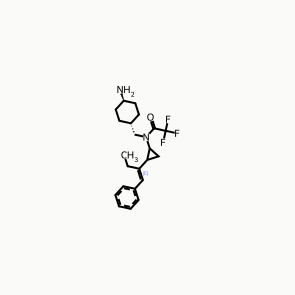 CC/C(=C\c1ccccc1)C1CC1N(C[C@H]1CC[C@H](N)CC1)C(=O)C(F)(F)F